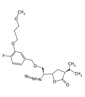 COCCCOc1cc(COC[C@H](N=[N+]=[N-])C2C[C@@H](C(C)C)C(=O)O2)ccc1F